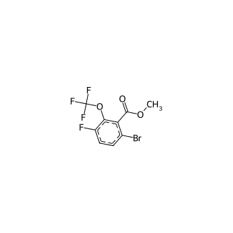 COC(=O)c1c(Br)ccc(F)c1OC(F)(F)F